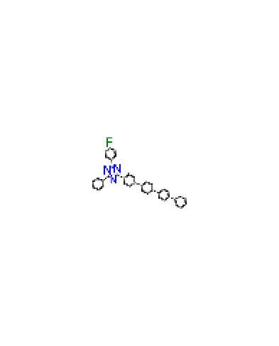 Fc1ccc(-c2nc(-c3ccccc3)nc(-c3ccc(-c4ccc(-c5ccc(-c6ccccc6)cc5)cc4)cc3)n2)cc1